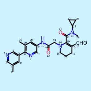 Cc1cncc(-c2ncc(NC(=O)CN3CCCC(C=O)=C3C(=O)N(C)C3CC3)cc2C)c1